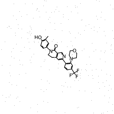 Cc1cc(N2CCc3cc(-c4ccc(C(F)(F)F)cc4N4CCOCC4)ncc3C2=O)ccc1O